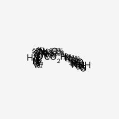 Cc1c(O[C@H]2CC[C@H](CCCCN3CCC(c4cccc5c(C6CCC(=O)NC6=O)nn(C)c45)CC3)CC2)cccc1-c1ccc(N2CCc3cccc(C(=O)Nc4nc5ccccc5s4)c3C2)nc1C(=O)O